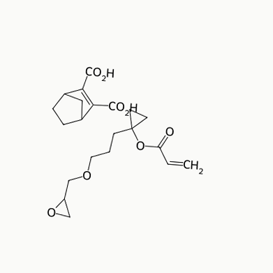 C=CC(=O)OC1(CCCOCC2CO2)CC1.O=C(O)C1=C(C(=O)O)C2CCC1C2